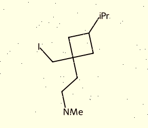 CNCCC1(CI)CC(C(C)C)C1